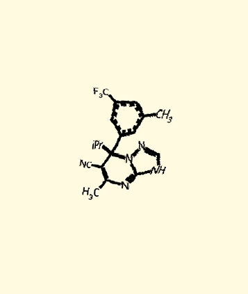 CC1=C(C#N)C(c2cc(C)cc(C(F)(F)F)c2)(C(C)C)N2N=CNC2=N1